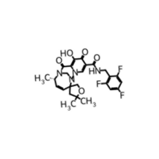 C[C@H]1C=CC2(COC(C)(C)C2)N2CN1C(=O)c1c(O)c(=O)c(C(=O)NCc3c(F)cc(F)cc3F)cn12